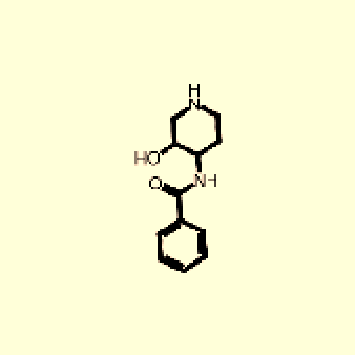 O=C(NC1CCNCC1O)c1ccccc1